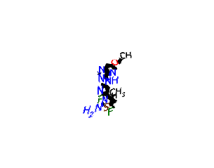 C#CCOc1cnc2c(Nc3cnc(F)c([C@]4(C)N=C(N)S[C@@]5(CF)C[C@H]54)c3)ncnc2c1